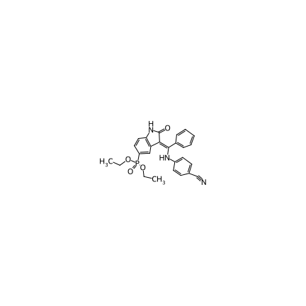 CCOP(=O)(OCC)c1ccc2c(c1)C(=C(Nc1ccc(C#N)cc1)c1ccccc1)C(=O)N2